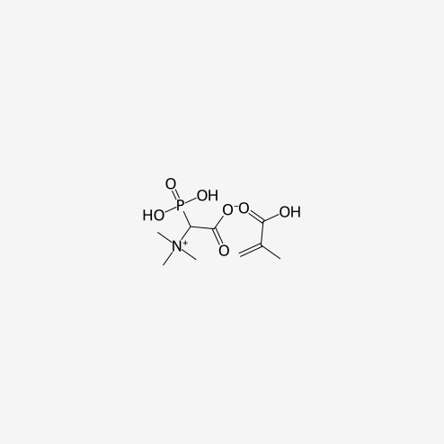 C=C(C)C(=O)O.C[N+](C)(C)C(C(=O)[O-])P(=O)(O)O